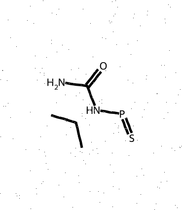 CCC.NC(=O)NP=S